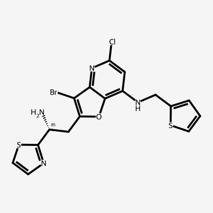 N[C@H](Cc1oc2c(NCc3cccs3)cc(Cl)nc2c1Br)c1nccs1